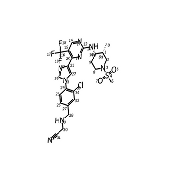 C[C@@H]1CN(S(C)(=O)=O)CC[C@@H]1Nc1ncc(C(F)(F)F)c(-c2cn(-c3ccc(CNCC#N)cc3Cl)cn2)n1